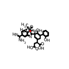 CN(C)S(=O)(=O)NC1(c2nc3cc(C(=N)N)ccc3[nH]2)C=C(C(CC(=O)O)C(=O)O)CC(c2ccccc2O)=C1O